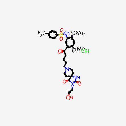 COc1cc(OC)c(C(=O)CCCCN2CCC3(CC2)NC(=O)N(CCO)C3=O)cc1NS(=O)(=O)c1ccc(C(F)(F)F)cc1.Cl